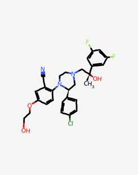 C[C@@](O)(CN1CCN(c2ccc(OCCO)cc2C#N)[C@H](c2ccc(Cl)cc2)C1)c1cc(F)cc(F)c1